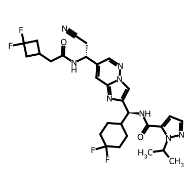 CC(C)n1nccc1C(=O)N[C@H](c1cn2ncc([C@@H](CC#N)NC(=O)CC3CC(F)(F)C3)cc2n1)C1CCC(F)(F)CC1